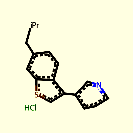 CC(C)Cc1ccc2c(-c3cccnc3)csc2c1.Cl